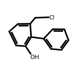 Oc1cccc(CCl)c1-c1ccccc1